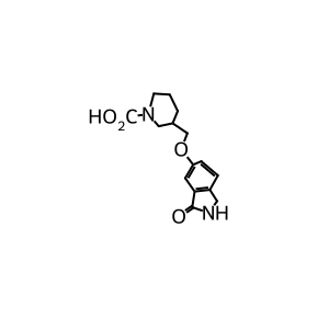 O=C1NCc2ccc(OCC3CCCN(C(=O)O)C3)cc21